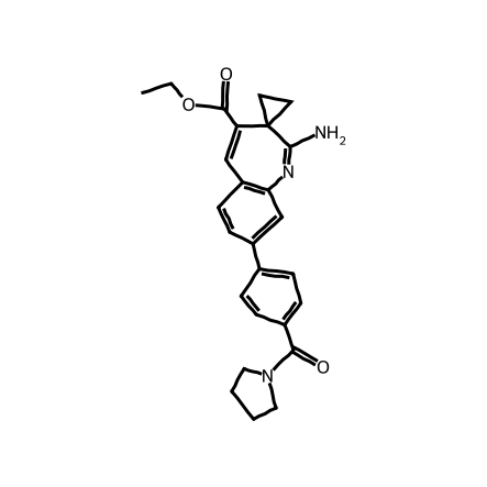 CCOC(=O)C1=Cc2ccc(-c3ccc(C(=O)N4CCCC4)cc3)cc2N=C(N)C12CC2